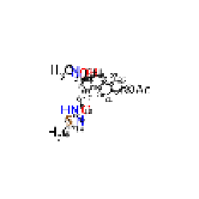 C/N=C/[C@]1(O)C[C@@H](CCC(=O)Nc2ncc(C)s2)C2C3CCc4cc(OC(C)=O)ccc4C3CC[C@@]21C